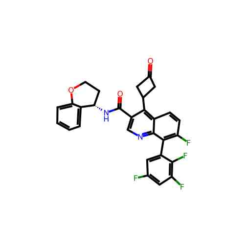 O=C1CC(c2c(C(=O)N[C@H]3CCOc4ccccc43)cnc3c(-c4cc(F)cc(F)c4F)c(F)ccc23)C1